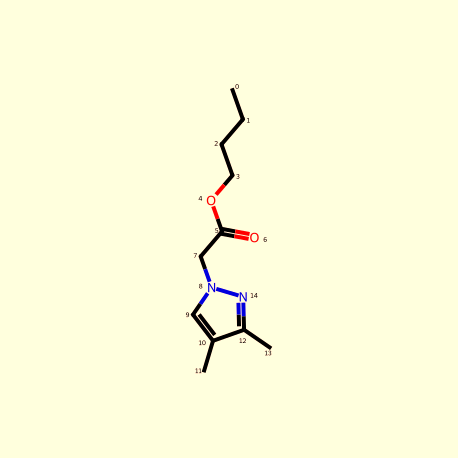 CCCCOC(=O)Cn1cc(C)c(C)n1